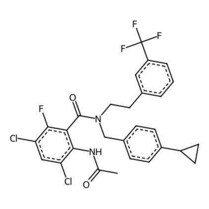 CC(=O)Nc1c(Cl)cc(Cl)c(F)c1C(=O)N(CCc1cccc(C(F)(F)F)c1)Cc1ccc(C2CC2)cc1